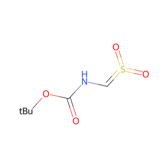 CC(C)(C)OC(=O)NC=S(=O)=O